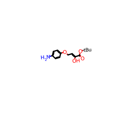 CC(C)(C)OC(=O)C(O)=CCOc1ccc(N)cc1